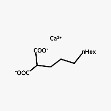 CCCCCCCCCC(C(=O)[O-])C(=O)[O-].[Ca+2]